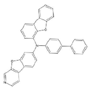 c1ccc(-c2ccc(N(c3ccc4c(c3)oc3cnccc34)c3cccc4c3oc3ccccc34)cc2)cc1